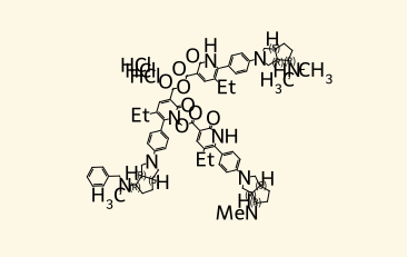 CCc1cc(C(=O)OC(=O)c2cc(CC)c(-c3ccc(N4C[C@H]5CC[C@@H](N(C)Cc6ccccc6)[C@H]5C4)cc3)n(OC(=O)c3cc(CC)c(-c4ccc(N5C[C@H]6CC[C@@H](NC)[C@H]6C5)cc4)[nH]c3=O)c2=O)c(=O)[nH]c1-c1ccc(N2C[C@H]3CC[C@@H](N(C)C)[C@H]3C2)cc1.Cl.Cl.Cl